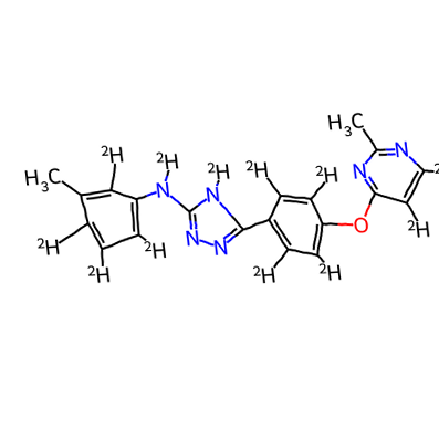 [2H]c1nc(C)nc(Oc2c([2H])c([2H])c(-c3nnc(N([2H])c4c([2H])c([2H])c([2H])c(C)c4[2H])n3[2H])c([2H])c2[2H])c1[2H]